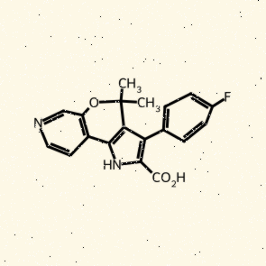 CC1(C)Oc2cnccc2-c2[nH]c(C(=O)O)c(-c3ccc(F)cc3)c21